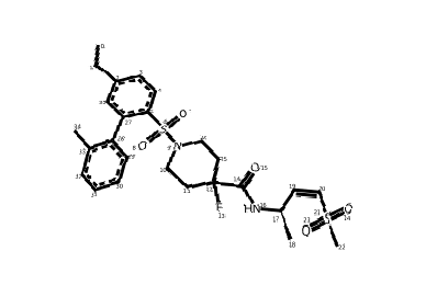 CCc1ccc(S(=O)(=O)N2CCC(F)(C(=O)N[C@H](C)/C=C\S(C)(=O)=O)CC2)c(-c2ccccc2C)c1